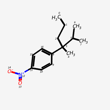 CCCC(C)([C](C)C)c1ccc([N+](=O)[O-])cc1